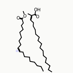 CCCCCCCC/C=C\CCCCCCCC(=O)OC.CCCCCCCCCCCCCCCC=C(C)C(=O)O